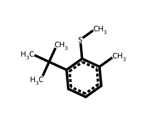 CSc1c(C)cccc1C(C)(C)C